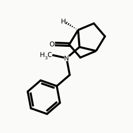 CN(Cc1ccccc1)C1C2CC[C@@H]1C(=O)C2